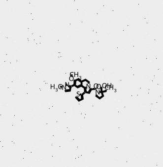 CCC1(C(=O)O)CCCN1C(=O)c1cc(-c2cccs2)c2n1CCc1cc(OC)c(-c3ccn(C)n3)cc1-2